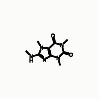 CNc1nc2c(c(=O)n(C)c(=O)n2C)n1C